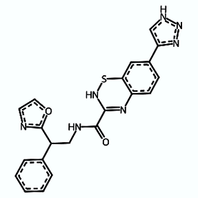 O=C(NCC(c1ccccc1)c1ncco1)C1=Nc2ccc(-c3c[nH]nn3)cc2SN1